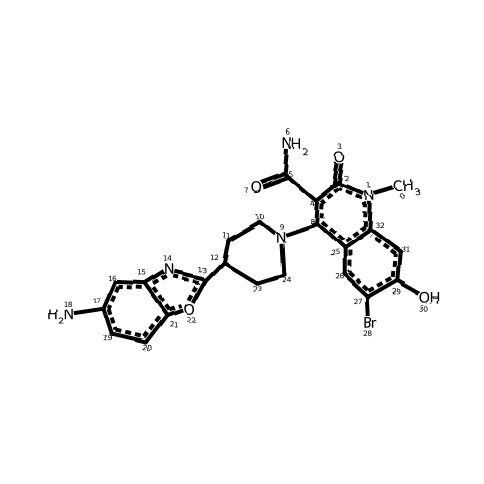 Cn1c(=O)c(C(N)=O)c(N2CCC(c3nc4cc(N)ccc4o3)CC2)c2cc(Br)c(O)cc21